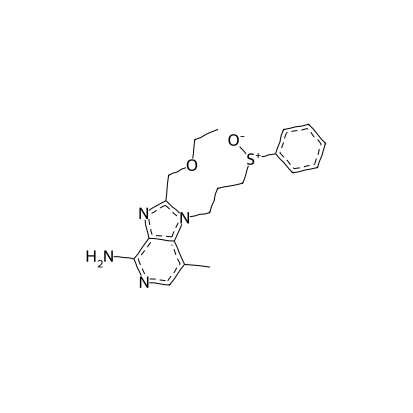 CCOCc1nc2c(N)ncc(C)c2n1CCC[S+]([O-])c1ccccc1